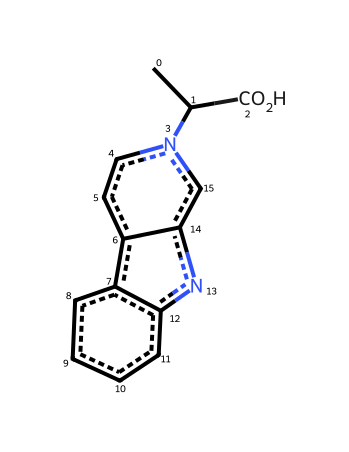 CC(C(=O)O)n1ccc2c3ccccc3nc-2c1